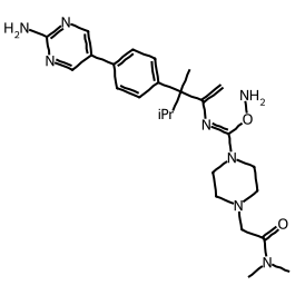 C=C(/N=C(\ON)N1CCN(CC(=O)N(C)C)CC1)C(C)(c1ccc(-c2cnc(N)nc2)cc1)C(C)C